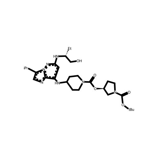 CC[C@H](CO)Nc1cc(NC2CCN(C(=O)O[C@H]3CCN(C(=O)OC(C)(C)C)C3)CC2)c2ncc(C(C)C)n2n1